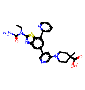 CCN(C(N)=O)c1nc2cc(-c3cncc(N4CCC(C)(C(=O)O)CC4)c3)cc(-c3ccccn3)c2s1